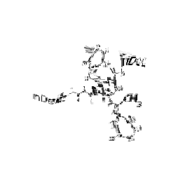 CCCCCCCCCCCCCC[n+]1c(CC(C)c2ccccc2)cn(CCCCCCCCCCCC)c1Cc1ccccc1